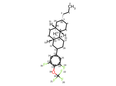 CCC[C@@H]1CC[C@H]2[C@H](CC[C@H]3CC(c4cc(F)c(OC(F)(F)F)c(F)c4)CC[C@@H]32)C1